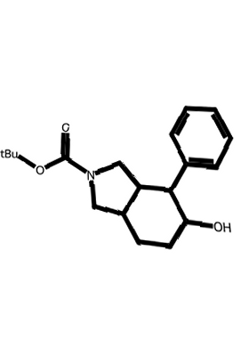 CC(C)(C)OC(=O)N1CC2CCC(O)C(c3ccccc3)C2C1